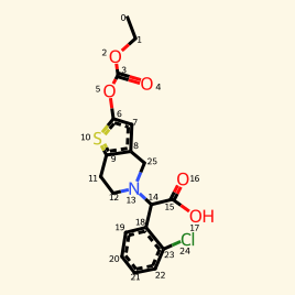 CCOC(=O)Oc1cc2c(s1)CCN(C(C(=O)O)c1ccccc1Cl)C2